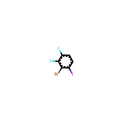 Fc1ccc(I)c(Br)c1F